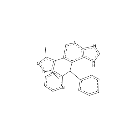 Cc1noc(C)c1-c1cnc2nc[nH]c2c1C(c1ccccc1)c1ccccn1